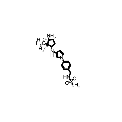 CC1(C)[C@H](Nc2ccn(-c3ccc(CNS(C)(=O)=O)cc3)c2)CC[C@]1(C)N